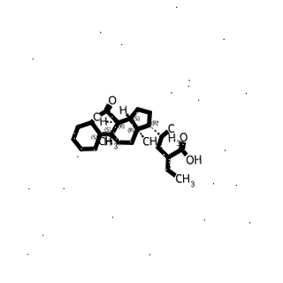 CCC(CC(C)[C@H]1CC[C@H]2[C@@H]3C(=O)CC4CCCC[C@]4(C)[C@H]3CC[C@]12C)C(=O)O